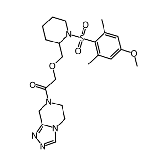 COc1cc(C)c(S(=O)(=O)N2CCCCC2COCC(=O)N2CCn3cnnc3C2)c(C)c1